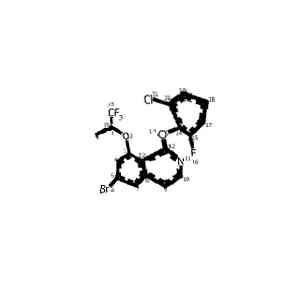 C[C@H](Oc1cc(Br)cc2ccnc(Oc3c(F)cccc3Cl)c12)C(F)(F)F